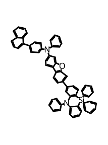 c1ccc(N(c2ccc(-c3cccc4ccccc34)cc2)c2ccc3c(c2)oc2cc(-c4ccc5c(c4)N(c4ccccc4)c4ccccc4[Si]5(c4ccccc4)c4ccccc4)ccc23)cc1